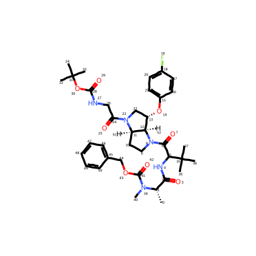 C[C@@H](C(=O)NC(C(=O)N1CC[C@@H]2[C@H]1[C@@H](Oc1ccc(F)cc1)CN2C(=O)CNC(=O)OC(C)(C)C)C(C)(C)C)N(C)C(=O)OCc1ccccc1